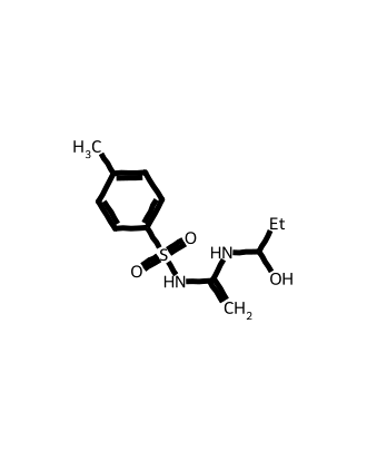 C=C(NC(O)CC)NS(=O)(=O)c1ccc(C)cc1